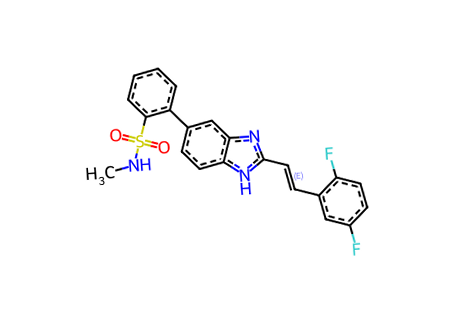 CNS(=O)(=O)c1ccccc1-c1ccc2[nH]c(/C=C/c3cc(F)ccc3F)nc2c1